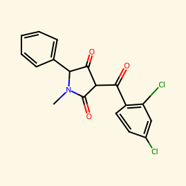 CN1C(=O)C(C(=O)c2ccc(Cl)cc2Cl)C(=O)C1c1ccccc1